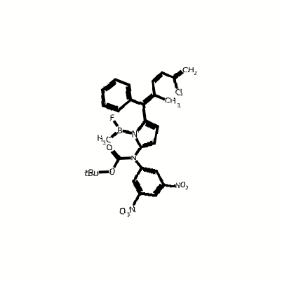 C=C(Cl)/C=C\C(C)=C(/c1ccccc1)c1ccc(N(C(=O)OC(C)(C)C)c2cc([N+](=O)[O-])cc([N+](=O)[O-])c2)n1B(C)F